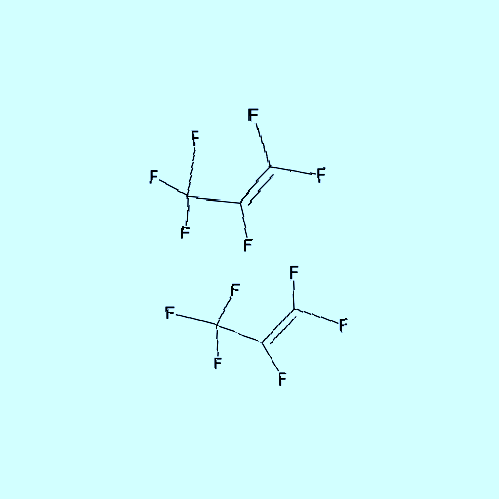 FC(F)=C(F)C(F)(F)F.FC(F)=C(F)C(F)(F)F